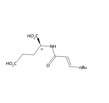 CCCCC=CC(=O)N[C@@H](CCC(=O)O)C(=O)O